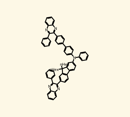 CCCCCCC1(CCCCCC)c2cc(-c3nc4ccccc4nc3-c3ccccc3)ccc2-c2ccc(N(c3ccccc3)c3ccc(-c4ccc(-c5nc6ccccc6nc5-c5ccccc5)cc4)cc3)cc21